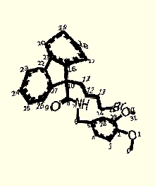 COc1ccc(CNC(=O)C2(CCCCBr)c3ccccc3-c3ccccc32)cc1OC